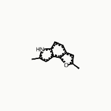 Cc1cc2c(ccc3cc(C)oc32)[nH]1